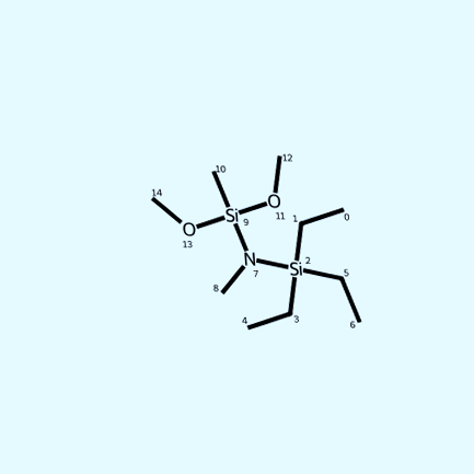 CC[Si](CC)(CC)N(C)[Si](C)(OC)OC